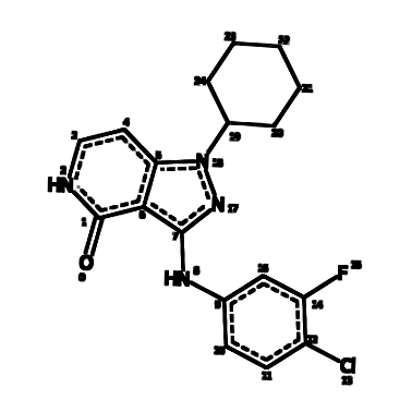 O=c1[nH]ccc2c1c(Nc1ccc(Cl)c(F)c1)nn2C1CCCCC1